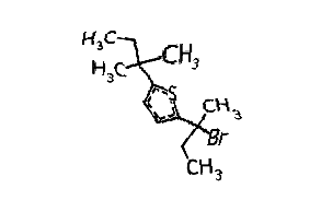 CCC(C)(C)c1ccc(C(C)(Br)CC)s1